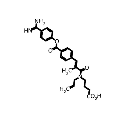 C=CCN(CCCC(=O)O)C(=O)/C(C)=C/c1ccc(C(=O)Oc2ccc(C(=N)N)cc2)cc1